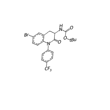 CC(C)(C)OC(=O)NC1Cc2cc(Br)ccc2N(c2ccc(C(F)(F)F)cc2)C1=O